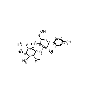 OC[C@H]1O[C@H](c2ccc(O)cc2)[C@H](O)[C@@H](O[C@H]2O[C@H](CO)[C@@H](O)[C@H](O)[C@@H]2O)[C@H]1O